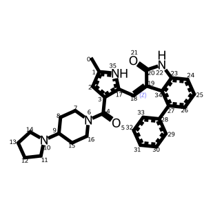 Cc1cc(C(=O)N2CCC(N3CCCC3)CC2)c(/C=C2\C(=O)Nc3cccc(-c4ccccc4)c32)[nH]1